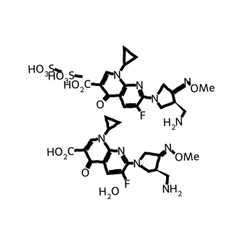 CON=C1CN(c2nc3c(cc2F)c(=O)c(C(=O)O)cn3C2CC2)C[C@@H]1CN.CON=C1CN(c2nc3c(cc2F)c(=O)c(C(=O)O)cn3C2CC2)C[C@@H]1CN.CS(=O)(=O)O.CS(=O)(=O)O.O